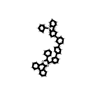 c1ccc(-c2nc3c4ccccc4c4ccccc4c3nc2-c2cccc(-c3ccc(-c4cccc(-c5ccc6c(c5)c5ccccc5n6-c5ccccc5)c4)cc3)c2)cc1